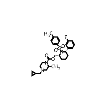 Cc1ccc(S(=O)(=O)N2[C@@H](COC(=O)N3CCN(CC4CC4)C[C@@H]3C)CCC[C@H]2c2cccc(F)c2)cc1